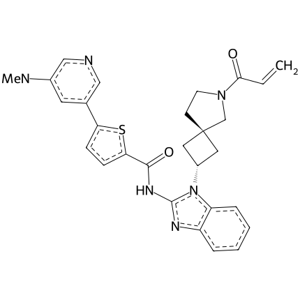 C=CC(=O)N1CC[C@]2(C1)C[C@@H](n1c(NC(=O)c3ccc(-c4cncc(NC)c4)s3)nc3ccccc31)C2